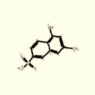 Cc1cc(O)c2ccc(S(C)(=O)=O)cc2c1